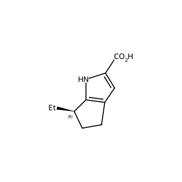 CC[C@@H]1CCc2cc(C(=O)O)[nH]c21